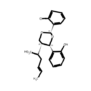 CC=CCC(C(=O)O)[C@@H]1CO[C@H](c2ccccc2Cl)O[C@@H]1c1ccccc1O